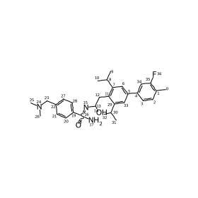 Cc1ccc(-c2cc(C(C)C)c(CC(O)N=S(N)(=O)c3ccc(CN(C)C)cc3)c(C(C)C)c2)cc1F